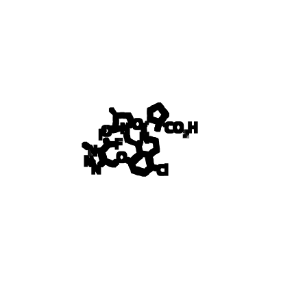 C[C@H]1CCN(C[C@@H]2c3c(OCc4nnn(C)c4C(F)F)ccc(Cl)c3CCN2C(=O)[C@@H]2CCC[C@]2(C)C(=O)O)C1=O